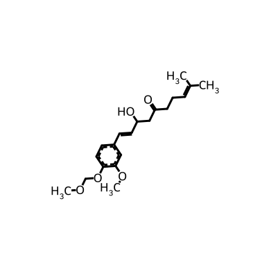 COCOc1ccc(C=CC(O)CC(=O)CCC=C(C)C)cc1OC